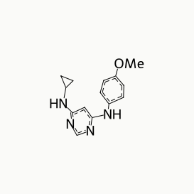 COc1ccc(Nc2cc(NC3CC3)ncn2)cc1